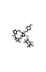 CC(=O)N1CCC(COc2ccc3cc2CCc2cncc(c2)Nc2ncc(Cl)c(n2)N3)CC1.O=C(O)C(F)(F)F.O=C(O)C(F)(F)F